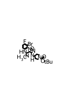 C/N=C(\Nc1ccc(F)c(Br)c1)c1nonc1NC1CCN(C(=O)OC(C)(C)C)CC1